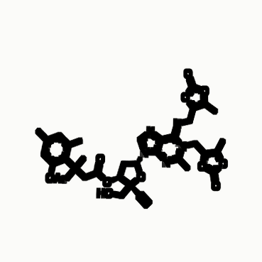 C#C[C@]1(CO)O[C@@H](n2cnc3/c(=N/Cc4oc(=O)oc4C)n(Cc4oc(=O)oc4C)c(C)nc32)C[C@@H]1OC(=O)CC(C)(C)c1c(C)cc(C)cc1OC(C)=O